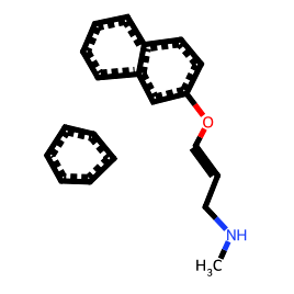 CNCC=COc1ccc2ccccc2c1.c1ccccc1